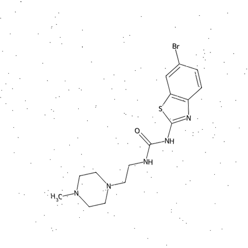 CN1CCN(CCNC(=O)Nc2nc3ccc(Br)cc3s2)CC1